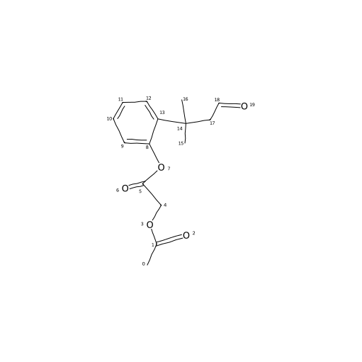 CC(=O)OCC(=O)Oc1ccccc1C(C)(C)CC=O